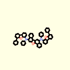 C1=CC2C(OC3C(N(c4ccccc4)c4cc5oc6c7ccccc7c(N(c7ccccc7)c7cccc8c7oc7c(-c9ccccc9)cccc78)cc6c5c5ccccc45)=CC=CC32)C(c2ccccc2)=C1